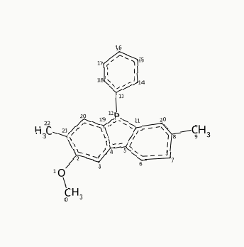 COc1cc2c3ccc(C)cc3p(-c3ccccc3)c2cc1C